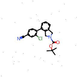 CC(C)(C)OC(=O)N1Cc2cccc(-c3ccc(C#N)cc3Cl)c2C1